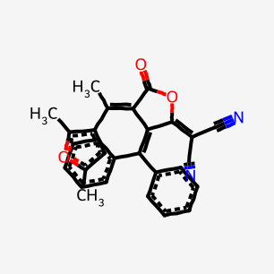 C/C(=C1\C(=O)OC(=C(C#N)C#N)C1=C(c1ccccc1)c1ccccc1)c1cc(C)oc1C